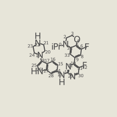 CC(C)N1CCOc2c(F)cc(-c3nc(Nc4ccc5c(N6CCNCC6)c[nH]c5c4)ncc3F)cc21